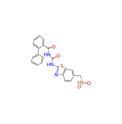 O=C(NC(=O)c1ccccc1-c1ccccc1)Nc1nc2ccc(C[SH](=O)=O)cc2s1